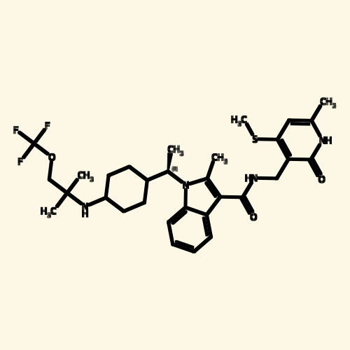 CSc1cc(C)[nH]c(=O)c1CNC(=O)c1c(C)n([C@H](C)C2CCC(NC(C)(C)COC(F)(F)F)CC2)c2ccccc12